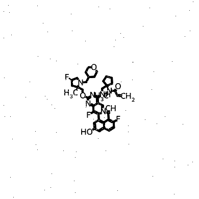 C#Cc1c(F)ccc2cc(O)cc(-c3ncc4c(NCC5(N(C)C(=O)C=C)CCCC5)nc(OC[C@]5(C)C[C@@H](F)CN5CC5CCOCC5)nc4c3F)c12